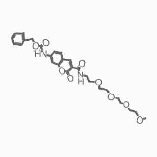 COCCOCCOCCOCCNC(=O)c1cc2ccc(NC(=O)OCc3ccccc3)cc2oc1=O